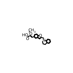 CCO/C(=C\c1ccc2oc(CN3CCCc4ccccc43)cc2c1)C(=O)O